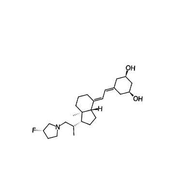 CC(CN1CC[C@H](F)C1)[C@H]1CC[C@H]2/C(=C/C=C3/C[C@@H](O)C[C@@H](O)C3)CCC[C@]12C